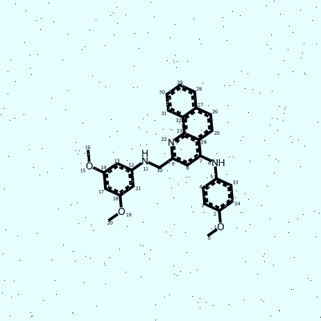 COc1ccc(Nc2cc(CNc3cc(OC)cc(OC)c3)nc3c2ccc2ccccc23)cc1